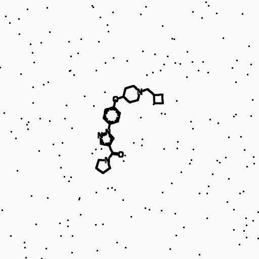 O=C(c1cnn(-c2ccc(OC3CCN(CC4CCC4)CC3)cc2)c1)N1CCCC1